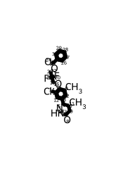 Cc1cc(C2=NNC(=O)CC2C)cc(Cl)c1OCC(F)(F)COC(=O)c1ccccc1